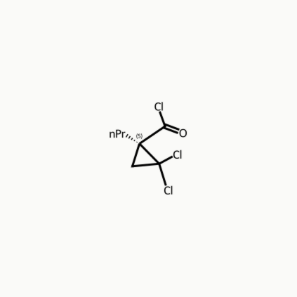 CCC[C@@]1(C(=O)Cl)CC1(Cl)Cl